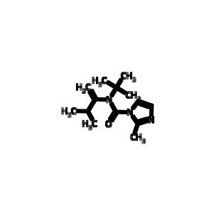 C=C(C(C)C)N(C(=O)n1ccnc1C)C(C)(C)C